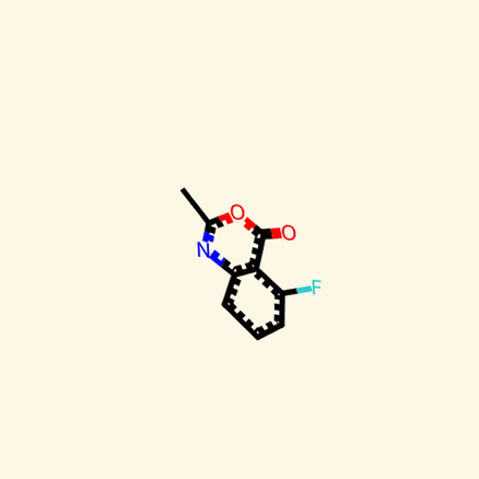 Cc1nc2cccc(F)c2c(=O)o1